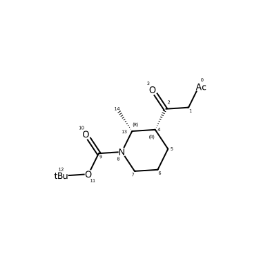 CC(=O)CC(=O)[C@@H]1CCCN(C(=O)OC(C)(C)C)[C@@H]1C